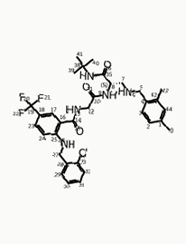 Cc1ccc(CNC[C@H](NC(=O)CNC(=O)c2cc(C(F)(F)F)ccc2NCc2ccccc2Cl)C(=O)NC(C)(C)C)c(C)c1